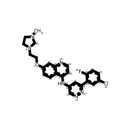 CN1CCN(CCOc2ccc3c(Nc4cnnc(-c5cc(Cl)ccc5F)c4)ccnc3c2)C1